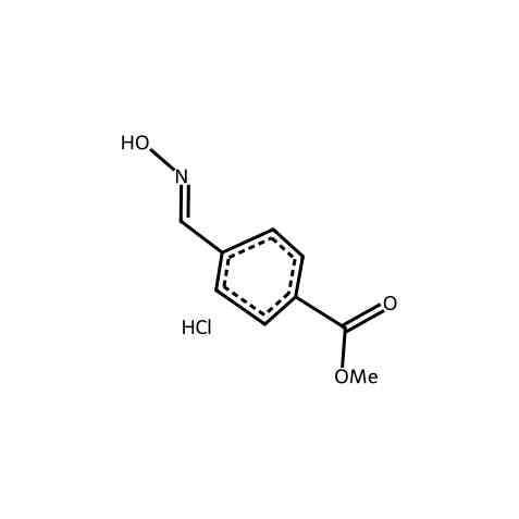 COC(=O)c1ccc(C=NO)cc1.Cl